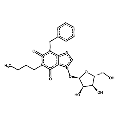 CCCCn1c(=O)c2c(ncn2O[C@H]2O[C@H](CO)[C@@H](O)[C@H]2O)n(Cc2ccccc2)c1=O